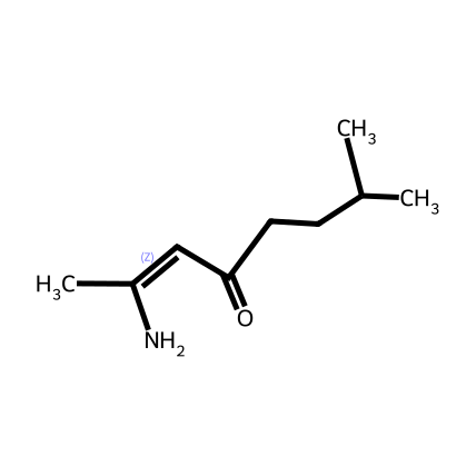 C/C(N)=C/C(=O)CCC(C)C